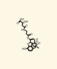 CN1CCC23c4c5ccc(O)c4OC2C(OC(=O)CCNC(=O)C[C@H](O)C(=O)O)=CC[C@@]3(O)[C@H]1C5